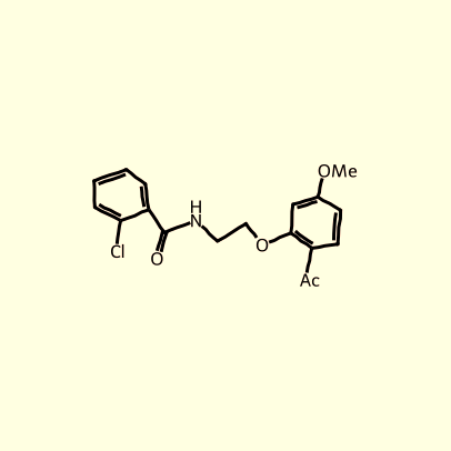 COc1ccc(C(C)=O)c(OCCNC(=O)c2ccccc2Cl)c1